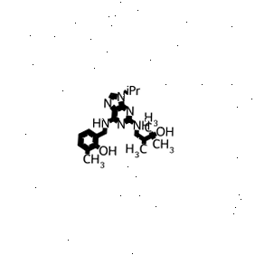 Cc1cccc(CNc2nc(NCC(C)C(C)(C)O)nc3c2ncn3C(C)C)c1O